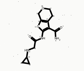 NC(=O)c1c(NC(=O)CNC2CC2)sc2c1CCOC2